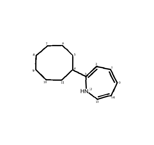 C1=CC=C(C2CCCCCCC2)NC=C1